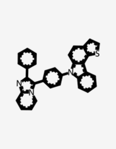 c1ccc(-c2nc3ccccn3c2-c2ccc(-n3c4ccccc4c4c5sccc5ccc43)cc2)cc1